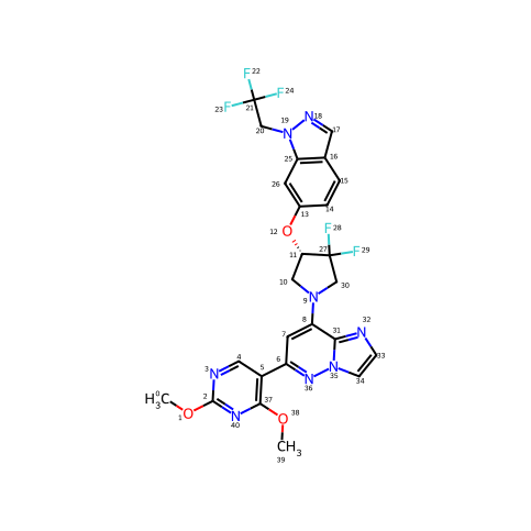 COc1ncc(-c2cc(N3C[C@H](Oc4ccc5cnn(CC(F)(F)F)c5c4)C(F)(F)C3)c3nccn3n2)c(OC)n1